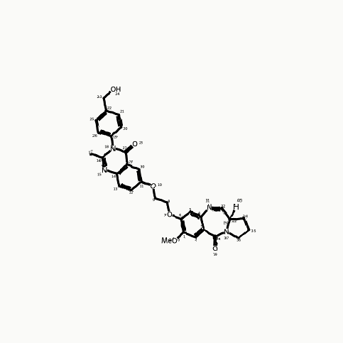 COc1cc2c(cc1OCCOc1ccc3nc(C)n(-c4ccc(CO)cc4)c(=O)c3c1)N=C[C@@H]1CCCN1C2=O